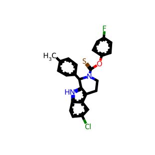 Cc1ccc(C2c3[nH]c4ccc(Cl)cc4c3CCN2C(=S)Oc2ccc(F)cc2)cc1